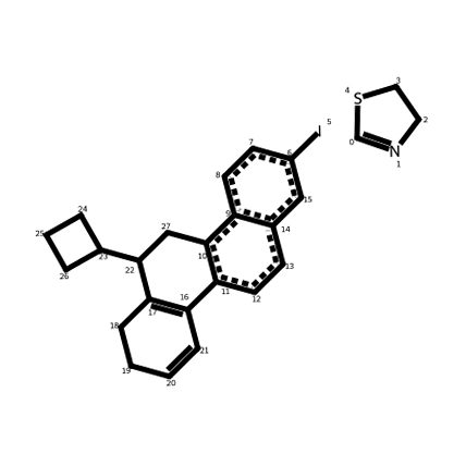 C1=NCCS1.Ic1ccc2c3c(ccc2c1)C1=C(CCC=C1)C(C1CCC1)C3